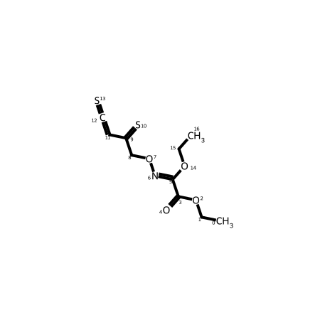 CCOC(=O)C(=NOCC(=S)C=C=S)OCC